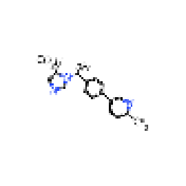 CCCC(c1ccc(-c2ccc(C(F)(F)F)nc2)cc1)n1cncc1C(=O)O